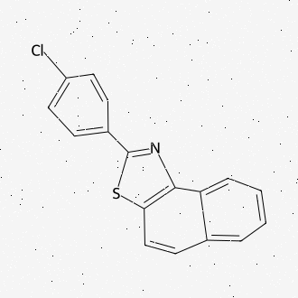 Clc1ccc(-c2nc3c(ccc4ccccc43)s2)cc1